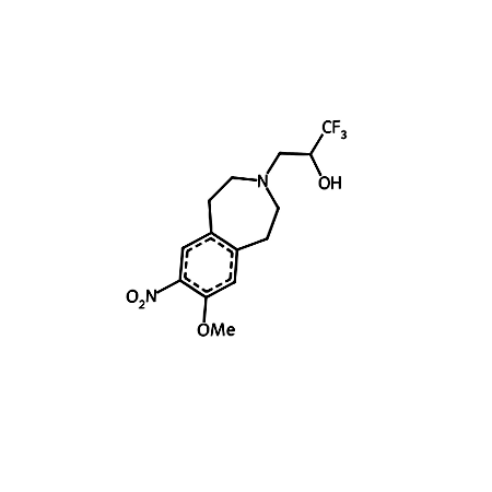 COc1cc2c(cc1[N+](=O)[O-])CCN(CC(O)C(F)(F)F)CC2